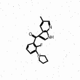 Cc1cnc2[nH]cc(C(=O)c3cccc(N4CCCC4)c3F)c2c1